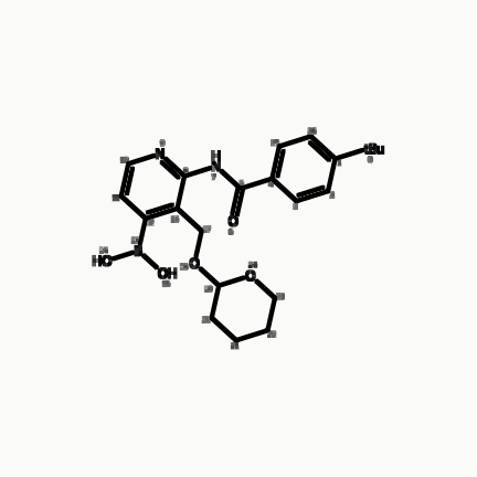 CC(C)(C)c1ccc(C(=O)Nc2nccc(B(O)O)c2COC2CCCCO2)cc1